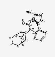 CCCCc1noc(-c2ccccc2N(C(N)=O)C2CC3CCCC(C2)N3C)n1